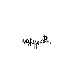 COc1cccc(C2(N)CCC(N3CC(NC(=O)CNC(=O)c4cccc(C(F)(F)F)c4)C3)CC2)c1